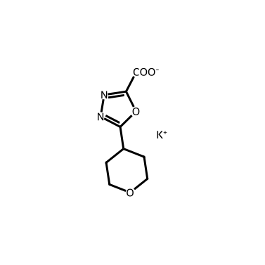 O=C([O-])c1nnc(C2CCOCC2)o1.[K+]